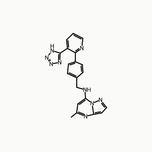 Cc1cc(NCc2ccc(-c3ncccc3-c3nnn[nH]3)cc2)n2nccc2n1